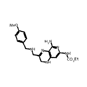 CCOC(=O)Nc1cc2c(c(N)n1)N=C(CNCc1ccc(OC)cc1)CN2